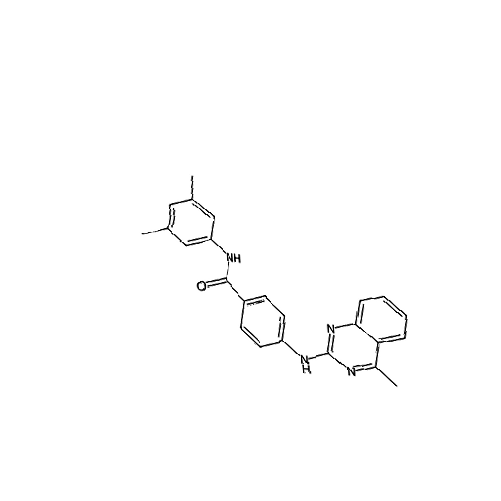 Cc1cc(C)cc(NC(=O)c2ccc(Nc3nc(C)c4ccccc4n3)cc2)c1